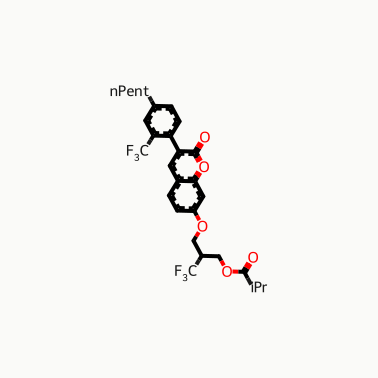 CCCCCc1ccc(-c2cc3ccc(OCC(COC(=O)C(C)C)C(F)(F)F)cc3oc2=O)c(C(F)(F)F)c1